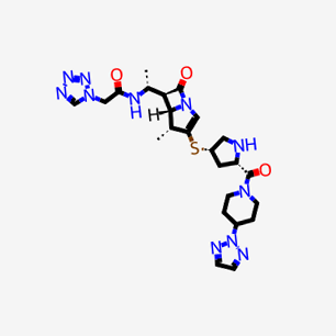 C[C@@H](NC(=O)Cn1cnnn1)[C@H]1C(=O)N2C=C(S[C@@H]3CN[C@H](C(=O)N4CCC(n5nccn5)CC4)C3)[C@H](C)[C@H]12